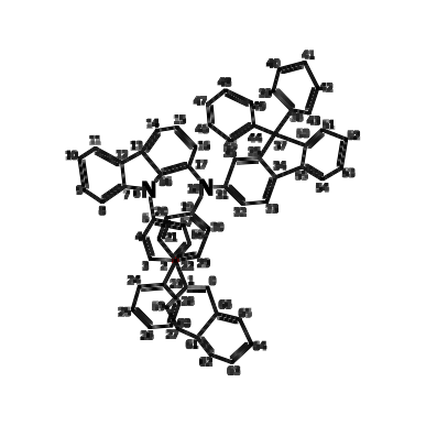 C1=C(c2ccc(-n3c4ccccc4c4cccc(N(c5ccc(-c6ccccc6)cc5)c5ccc6c(c5)C(c5ccccc5)(c5ccccc5)c5ccccc5-6)c43)cc2)CCc2ccccc21